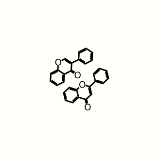 O=c1c(-c2ccccc2)coc2ccccc12.O=c1cc(-c2ccccc2)oc2ccccc12